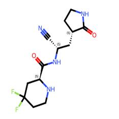 N#C[C@H](C[C@@H]1CCNC1=O)NC(=O)[C@@H]1CC(F)(F)CCN1